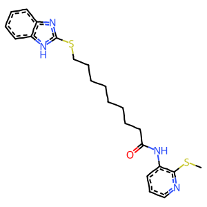 CSc1ncccc1NC(=O)CCCCCCCCSc1nc2ccccc2[nH]1